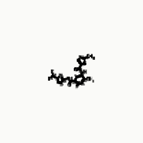 Cc1ncc(C(=O)Nc2cc(C(=O)Nc3ccn(C(F)F)n3)c(F)cc2C)s1